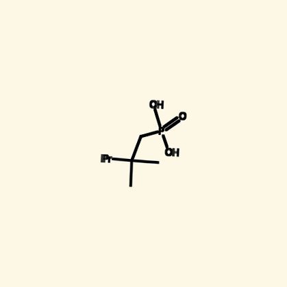 CC(C)C(C)(C)CP(=O)(O)O